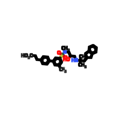 CN(CC(O)CNC(C)(C)CC1Cc2ccccc2C1)S(=O)(=O)c1cc(-c2ccc(CCC(=O)O)cc2)cc(C(F)(F)F)c1